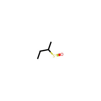 C[CH]C(C)[S+]=O